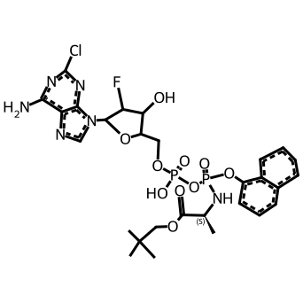 C[C@H](NP(=O)(Oc1cccc2ccccc12)OP(=O)(O)OCC1OC(n2cnc3c(N)nc(Cl)nc32)C(F)C1O)C(=O)OCC(C)(C)C